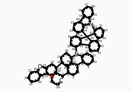 c1ccc(-c2ccc(-c3ccccc3N(c3ccc(-c4ccc5c(c4)oc4ccccc45)cc3)c3cccc4c3-c3ccccc3C43c4ccccc4-n4c5ccccc5c5cccc3c54)cc2)cc1